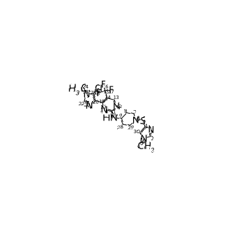 Cn1cnc(SN2CCC(Nc3ncc(C(F)(F)F)c(-c4ncn(C)c4Cl)n3)CC2)c1